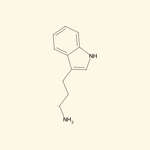 N[CH]CCc1c[nH]c2ccccc12